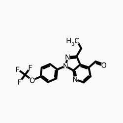 CCc1nn(-c2ccc(OC(F)(F)F)cc2)c2nccc(C=O)c12